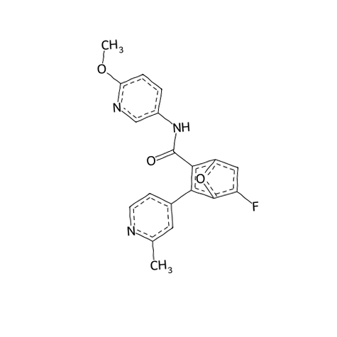 COc1ccc(NC(=O)c2c(-c3ccnc(C)c3)c3oc2cc3F)cn1